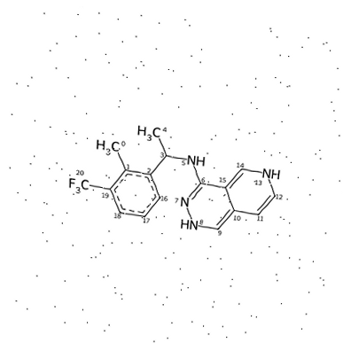 Cc1c(C(C)NC2=NNC=C3C=CNC=C32)cccc1C(F)(F)F